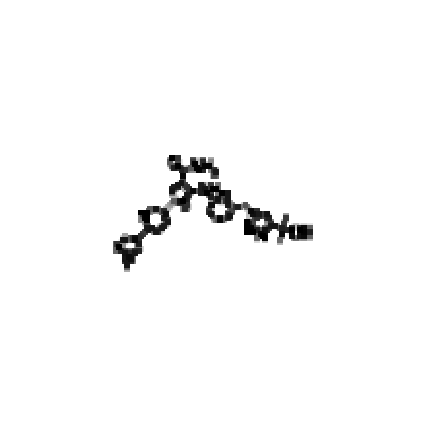 Cn1cc(-c2ccc(-c3cc(C(N)=O)c(Nc4cccc(Cn5cc(C(C)(C)O)nn5)n4)s3)cn2)cn1